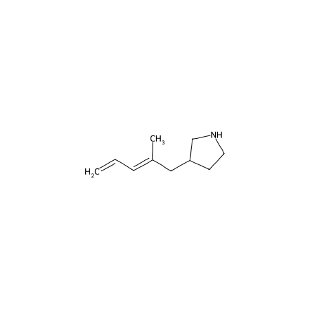 C=C/C=C(\C)CC1CCNC1